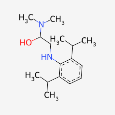 CC(C)c1cccc(C(C)C)c1NCC(O)N(C)C